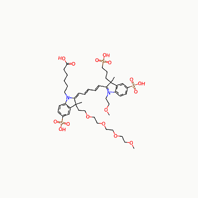 COCCOCCOCCOCCC1(C)\C(=C/C=C/C=C/C2=[N+](CCOC)c3ccc(S(=O)(=O)O)cc3C2(C)CCCS(=O)(=O)O)N(CCCCCC(=O)O)c2ccc(S(=O)(=O)O)cc21